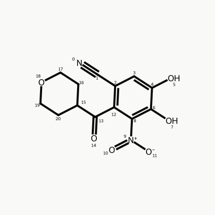 N#Cc1cc(O)c(O)c([N+](=O)[O-])c1C(=O)C1CCOCC1